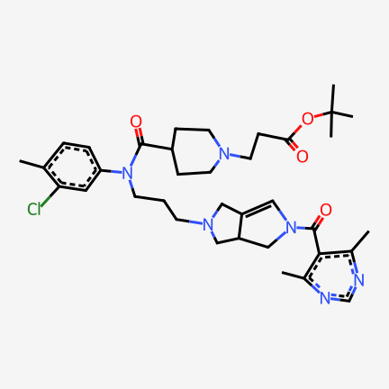 Cc1ccc(N(CCCN2CC3=CN(C(=O)c4c(C)ncnc4C)CC3C2)C(=O)C2CCN(CCC(=O)OC(C)(C)C)CC2)cc1Cl